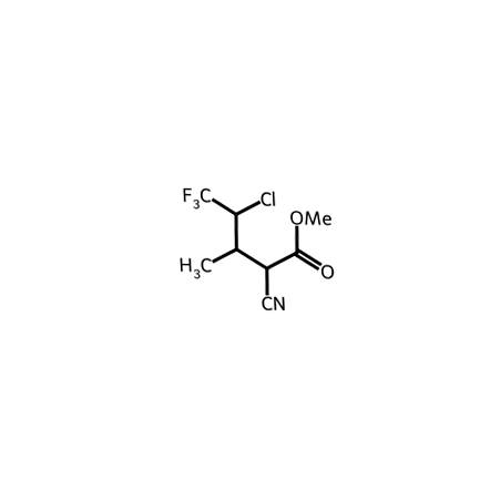 COC(=O)C(C#N)C(C)C(Cl)C(F)(F)F